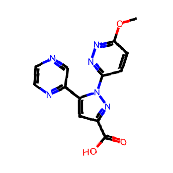 COc1ccc(-n2nc(C(=O)O)cc2-c2cnccn2)nn1